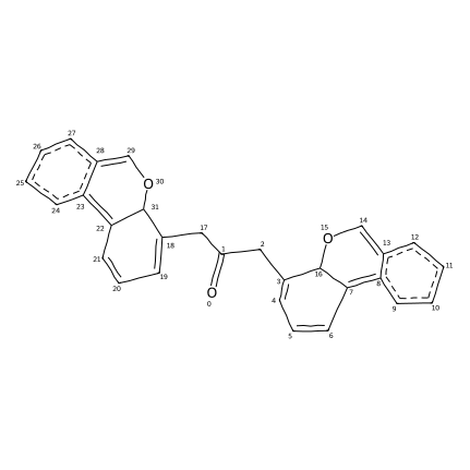 O=C(CC1=CC=CC2=c3ccccc3=COC12)CC1=CC=CC2=c3ccccc3=COC12